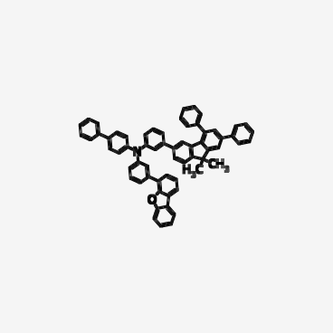 CC1(C)c2ccc(-c3cccc(N(c4ccc(-c5ccccc5)cc4)c4cccc(-c5cccc6c5oc5ccccc56)c4)c3)cc2-c2c(-c3ccccc3)cc(-c3ccccc3)cc21